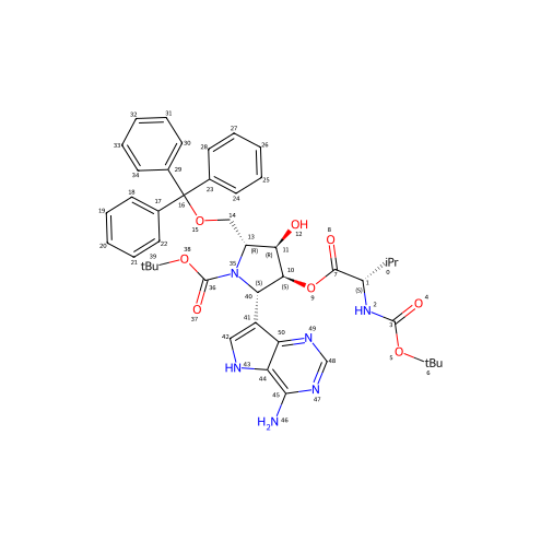 CC(C)[C@H](NC(=O)OC(C)(C)C)C(=O)O[C@@H]1[C@H](O)[C@@H](COC(c2ccccc2)(c2ccccc2)c2ccccc2)N(C(=O)OC(C)(C)C)[C@H]1c1c[nH]c2c(N)ncnc12